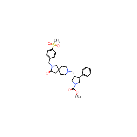 CC(C)(C)OC(=O)N1C[C@H](CN2CCC3(CC2)CC(=O)N(Cc2ccc(S(C)(=O)=O)cc2)C3)[C@@H](c2ccccc2)C1